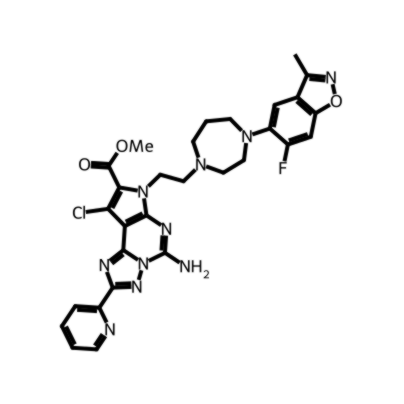 COC(=O)c1c(Cl)c2c(nc(N)n3nc(-c4ccccn4)nc23)n1CCN1CCCN(c2cc3c(C)noc3cc2F)CC1